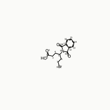 O=C(O)CCC(CCBr)N1C(=O)c2ccccc2C1=O